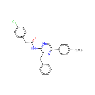 COc1ccc(-c2cnc(NC(=O)Cc3ccc(Cl)cc3)c(Cc3ccccc3)n2)cc1